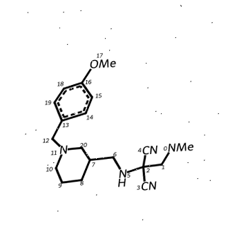 CNCC(C#N)(C#N)NCC1CCCN(Cc2ccc(OC)cc2)C1